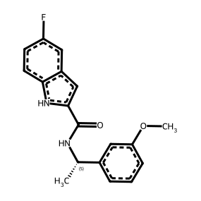 COc1cccc([C@H](C)NC(=O)c2cc3cc(F)ccc3[nH]2)c1